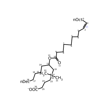 CCCCCCCC/C=C\CCCCCCCC(=O)OC(CCCCCCCCCCCCCC)C[N+](C)(C)CCCC(=O)[O-]